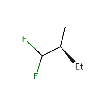 CC[C@H](C)C(F)F